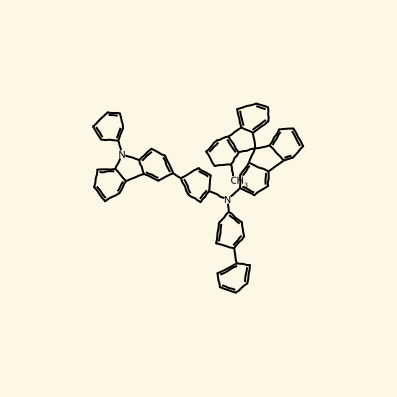 CC1CC=CC2=C1C1(c3ccccc32)c2ccccc2-c2ccc(N(c3ccc(-c4ccccc4)cc3)c3ccc(-c4ccc5c(c4)c4ccccc4n5-c4ccccc4)cc3)cc21